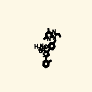 CCc1nc2c(C)cc(C)nc2n1Cc1ccc(-c2cc(-c3ccccc3C)sc2S(N)(=O)=O)cc1